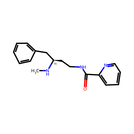 CN[C@H](CCNC(=O)c1ccccn1)Cc1ccccc1